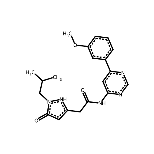 COc1cccc(-c2cc(NC(=O)Cc3cc(=O)n(CC(C)C)[nH]3)ncn2)c1